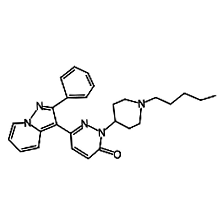 CCCCCN1CCC(n2nc(-c3c(-c4ccccc4)nn4ccccc34)ccc2=O)CC1